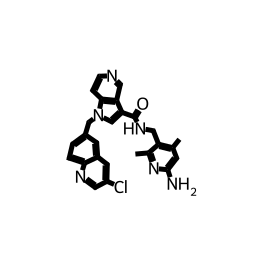 Cc1cc(N)nc(C)c1CNC(=O)c1cn(Cc2ccc3ncc(Cl)cc3c2)c2ccncc12